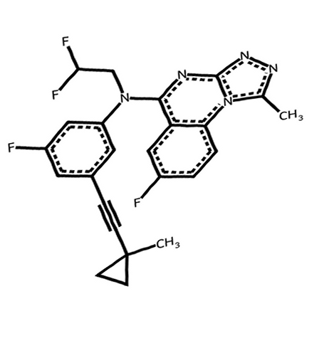 Cc1nnc2nc(N(CC(F)F)c3cc(F)cc(C#CC4(C)CC4)c3)c3cc(F)ccc3n12